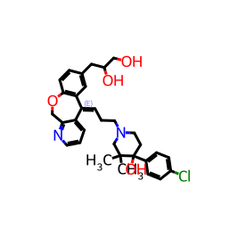 CC1(C)CN(CC/C=C2/c3cc(CC(O)CO)ccc3OCc3ncccc32)CCC1(O)c1ccc(Cl)cc1